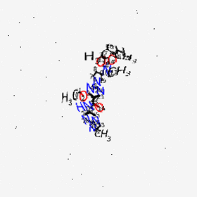 CCOc1nc(N2CCC(N(C)C(=O)OC(C)(C)C)C2)ncc1C(=O)Nc1cnc2nc(C)cn2c1